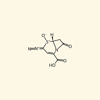 [N-]=[N+]=C1C=C(C(=O)O)N2C(=O)C[C@H]2[S+]1[O-]